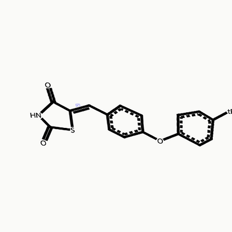 CC(C)(C)c1ccc(Oc2ccc(/C=C3\SC(=O)NC3=O)cc2)cc1